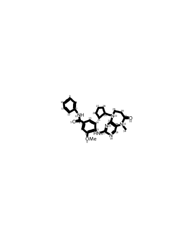 COc1cc(C(=O)Nc2ccccc2)ccc1Nc1ncc2c(n1)N(C1CCCC1)CCC(=O)N2C